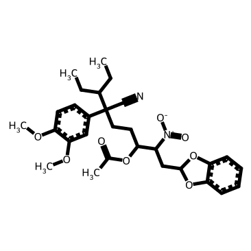 CCC(CC)C(C#N)(CCC(OC(C)=O)C(CC1Oc2ccccc2O1)[N+](=O)[O-])c1ccc(OC)c(OC)c1